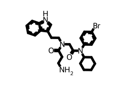 NCCC(=O)N(CCc1c[nH]c2ccccc12)CC(=O)N(c1ccc(Br)cc1)C1CCCCC1